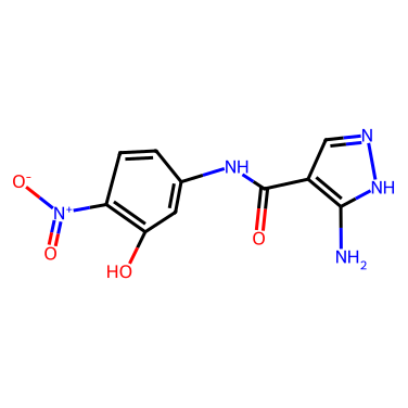 Nc1[nH]ncc1C(=O)Nc1ccc([N+](=O)[O-])c(O)c1